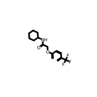 C=C(/C=C\C(=C)C(F)(F)F)OCC(=O)NC1CCCCC1